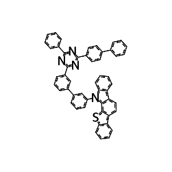 c1ccc(-c2ccc(-c3nc(-c4ccccc4)nc(-c4cccc(-c5cccc(-n6c7ccccc7c7ccc8c9ccccc9sc8c76)c5)c4)n3)cc2)cc1